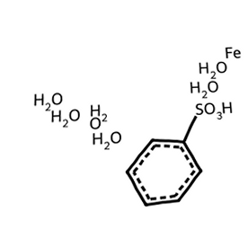 O.O.O.O.O.O.O=S(=O)(O)c1ccccc1.[Fe]